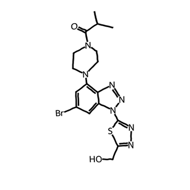 CC(C)C(=O)N1CCN(c2cc(Br)cc3c2nnn3-c2nnc(CO)s2)CC1